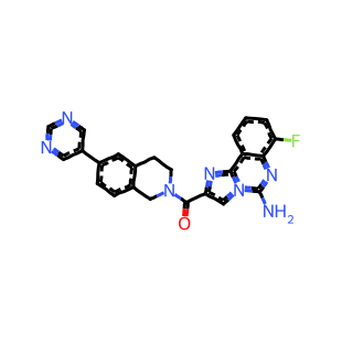 Nc1nc2c(F)cccc2c2nc(C(=O)N3CCc4cc(-c5cncnc5)ccc4C3)cn12